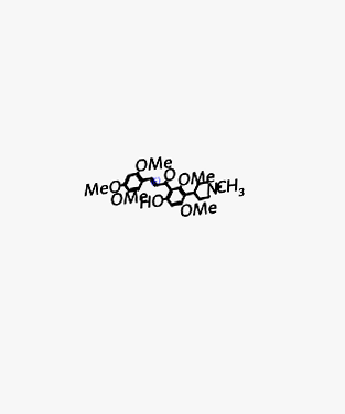 COc1cc(OC)c(/C=C/C(=O)c2c(O)cc(OC)c(C3CCN(C)CC3)c2OC)c(OC)c1